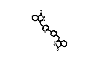 O=c1[nH]nc(Cc2ccc(-c3ccc(Cc4n[nH]c(=O)c5c4CCCC5)cn3)nc2)c2c1CCCC2